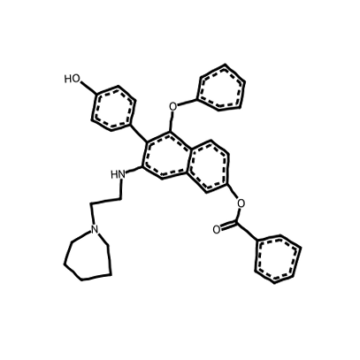 O=C(Oc1ccc2c(Oc3ccccc3)c(-c3ccc(O)cc3)c(NCCN3CCCCC3)cc2c1)c1ccccc1